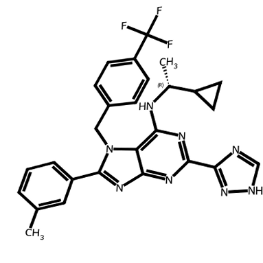 Cc1cccc(-c2nc3nc(-c4nc[nH]n4)nc(N[C@H](C)C4CC4)c3n2Cc2ccc(C(F)(F)F)cc2)c1